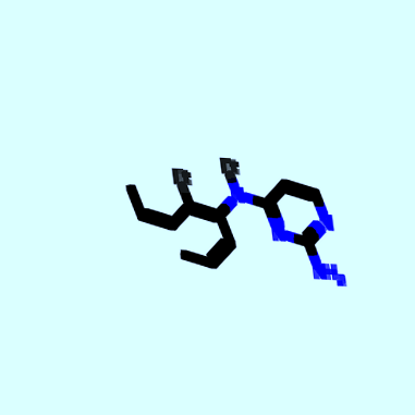 C\C=C/C(CC)=C(\C=C/C)N(CC)c1ccnc(N)n1